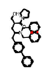 CCC(CC(Cc1ccc(-c2ccccc2)cc1)N(Cc1ccccc1)Cc1ccccc1)C(=O)N1CCCC1